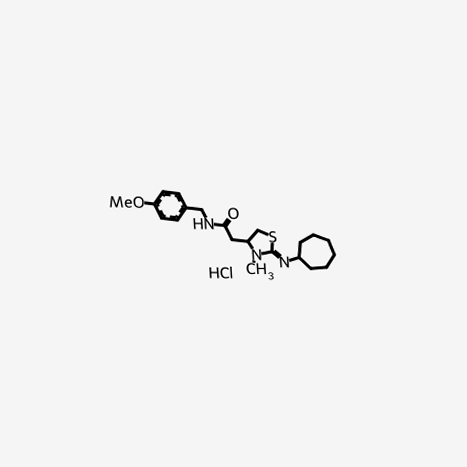 COc1ccc(CNC(=O)CC2CSC(=NC3CCCCCC3)N2C)cc1.Cl